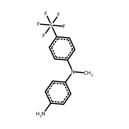 CN(c1ccc(N)cc1)c1ccc(S(F)(F)(F)(F)F)cc1